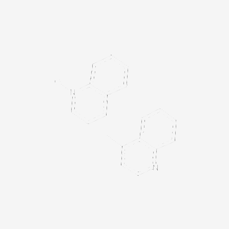 Cc1ccnc2ccccc12.[O-][n+]1cccc2ccccc21